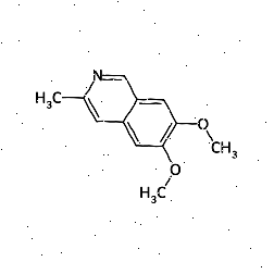 COc1cc2cnc(C)cc2cc1OC